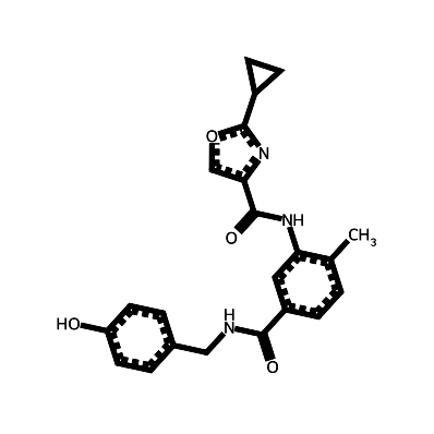 Cc1ccc(C(=O)NCc2ccc(O)cc2)cc1NC(=O)c1coc(C2CC2)n1